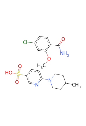 CC1CCN(c2ccc(S(=O)(=O)O)cn2)CC1.COc1cc(Cl)ccc1C(N)=O